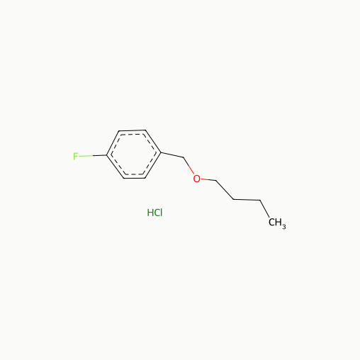 CCCCOCc1ccc(F)cc1.Cl